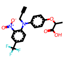 C#CCN(c1ccc(OC(C)C(=O)O)cc1)c1ccc(C(F)(F)F)cc1[N+](=O)[O-]